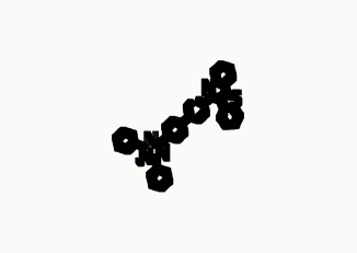 C=N/C(=N\C(=N/Cc1ccccc1)c1ccc(C(/C=C\C(=C)c2nc3ccccc3c3sc4ccccc4c23)=C/C)cc1)c1ccccc1